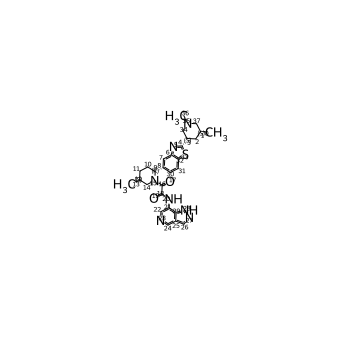 C[C@H]1C[C@H](c2nc3cc([C@H]4CC[C@H](C)CN4C(=O)C(=O)Nc4cncc5cn[nH]c45)ccc3s2)CN(C)C1